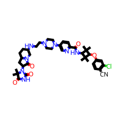 CC1(C)C(NC(=O)c2ccc(N3CCN(CCNC4CCC5CC(N6C(=O)NC(=O)C6(C)C)C(=O)N5C4)CC3)cn2)C(C)(C)C1Oc1ccc(C#N)c(Cl)c1